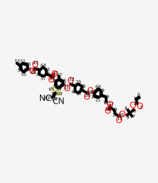 C=CC(=O)OCC(C)(C)COC(=O)CCC(=O)OCCc1ccc(OC(=O)C2CCC(C(=O)Oc3cc(C)c(OC(=O)C4CCC(C(=O)Oc5ccc(C)cc5)CC4)c4c3SC(=C(C#N)C#N)S4)CC2)cc1